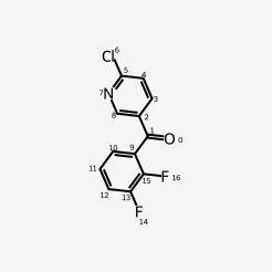 O=C(c1ccc(Cl)nc1)c1cccc(F)c1F